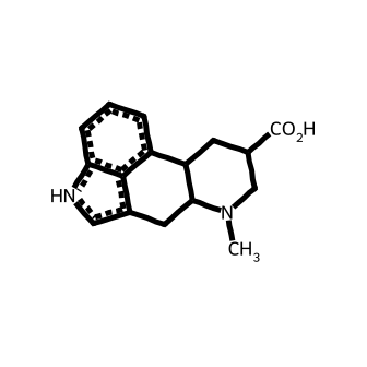 CN1CC(C(=O)O)CC2c3cccc4[nH]cc(c34)CC21